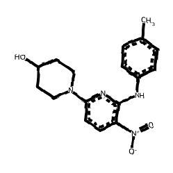 Cc1ccc(Nc2nc(N3CCC(O)CC3)ccc2[N+](=O)[O-])cc1